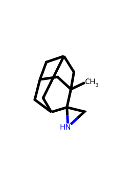 CC12CC3CC(CC(C3)C13CN3)C2